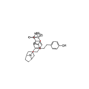 CS(=O)(=O)CC(=O)N(CCc1ccc(O)cc1)CCN1C2CCC1CC(c1cccc(C(N)=O)c1)C2